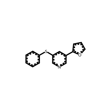 c1ccc(Sc2cncc(-c3ccco3)c2)cc1